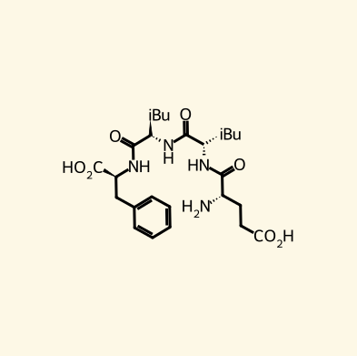 CC[C@H](C)[C@H](NC(=O)[C@@H](NC(=O)[C@@H](N)CCC(=O)O)[C@@H](C)CC)C(=O)N[C@@H](Cc1ccccc1)C(=O)O